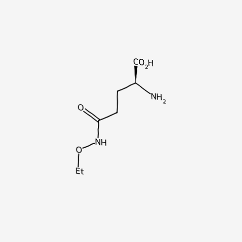 CCONC(=O)CC[C@H](N)C(=O)O